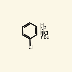 CCCCN.Cl.Clc1ccccc1